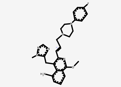 COc1nc(/C=C/CN2CCN(c3ccc(F)cc3)CC2)c(Cc2ncnn2C)c2c(N)cccc12